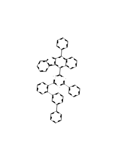 c1ccc(-c2cccc(-c3ccccc3-c3nc(-c4ccccc4)nc(-c4c5ccccc5c(-c5ccccc5)c5oc6ccccc6c45)n3)c2)cc1